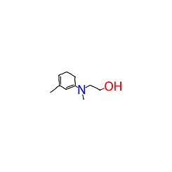 CC1=CCCC(N(C)CCO)=C1